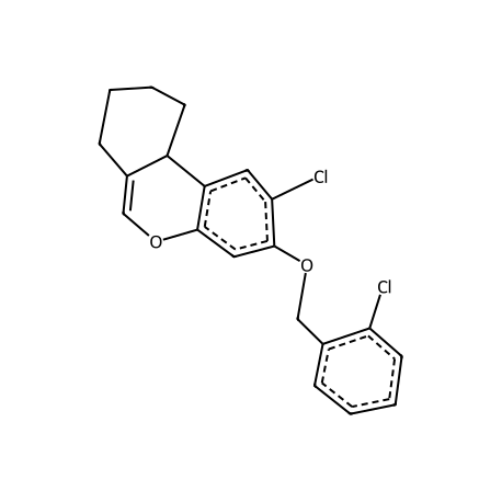 Clc1ccccc1COc1cc2c(cc1Cl)C1CCCCC1=CO2